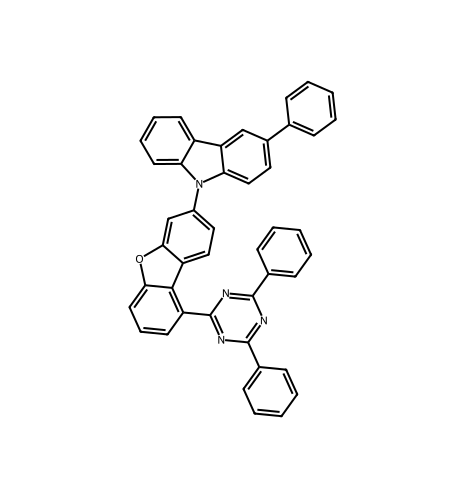 c1ccc(-c2ccc3c(c2)c2ccccc2n3-c2ccc3c(c2)oc2cccc(-c4nc(-c5ccccc5)nc(-c5ccccc5)n4)c23)cc1